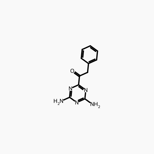 Nc1nc(N)nc(C(=O)Cc2ccccc2)n1